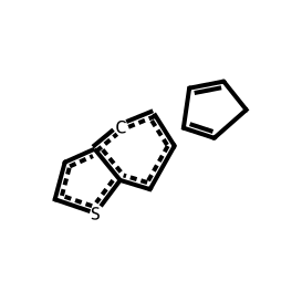 C1=CCC=C1.c1ccc2sccc2c1